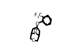 FC(F)(F)c1ccccc1OC1CC2CCCC(C1)N2